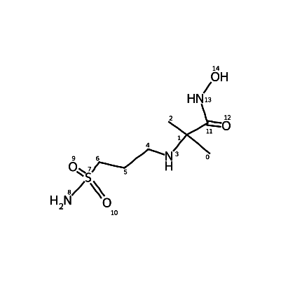 CC(C)(NCCCS(N)(=O)=O)C(=O)NO